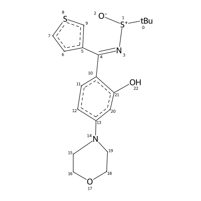 CC(C)(C)[S+]([O-])/N=C(\c1ccsc1)c1ccc(N2CCOCC2)cc1O